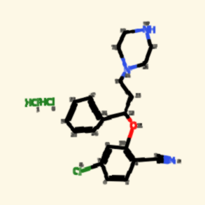 Cl.Cl.N#Cc1ccc(Cl)cc1O[C@H](CCN1CCNCC1)c1ccccc1